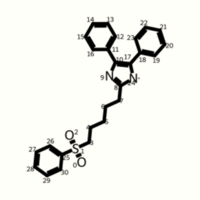 O=S(=O)(CCCCCC1=NC(c2ccccc2)=C(c2ccccc2)[N]1)c1ccccc1